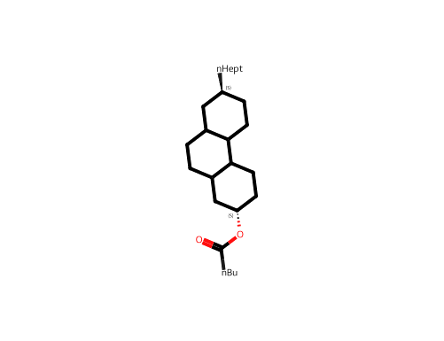 CCCCCCC[C@H]1CCC2C(CCC3C[C@@H](OC(=O)CCCC)CCC32)C1